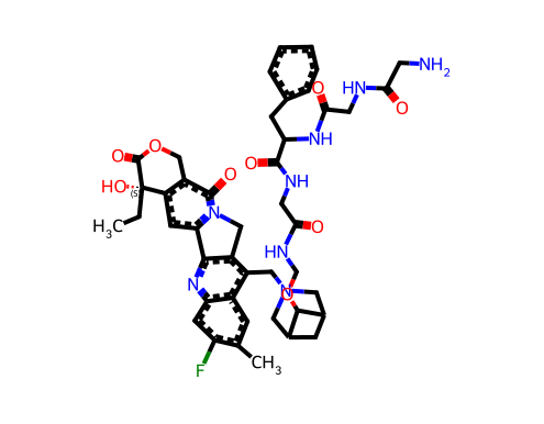 CC[C@@]1(O)C(=O)OCc2c1cc1n(c2=O)Cc2c-1nc1cc(F)c(C)cc1c2CN1CC2CC(C1)C2OCNC(=O)CNC(=O)C(Cc1ccccc1)NC(=O)CNC(=O)CN